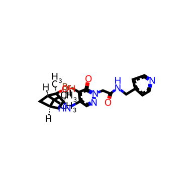 CC1(C)[C@H]2C[C@H](Nc3cnn(CC(=O)NCc4ccncc4)c(=O)c3Br)[C@](C)(O)[C@@H]1C2